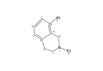 CCN1CCc2cccc(C(C)C)c2C1